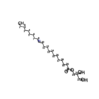 CCCCCCCC/C=C/CCCCCCCCCCCC(=O)OCC(O)CO